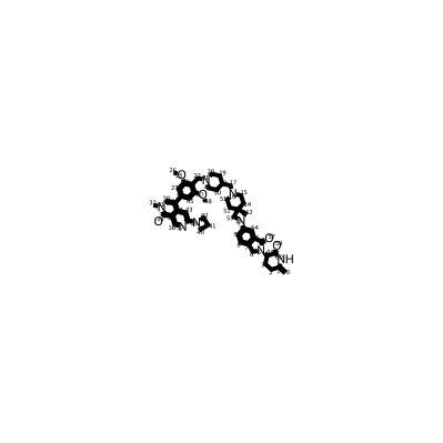 C=C1CCC(N2Cc3ccc(N4CC5(CCN(CC6CCN(Cc7c(OC)cc(-c8cn(C)c(=O)c9cnc(N%10CCC%10)cc89)cc7OC)CC6)CC5)C4)cc3C2=O)C(=O)N1